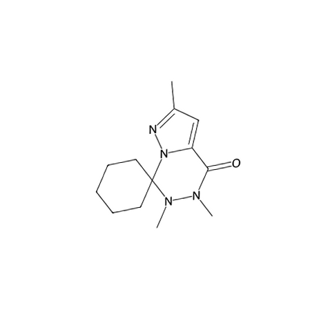 Cc1cc2n(n1)C1(CCCCC1)N(C)N(C)C2=O